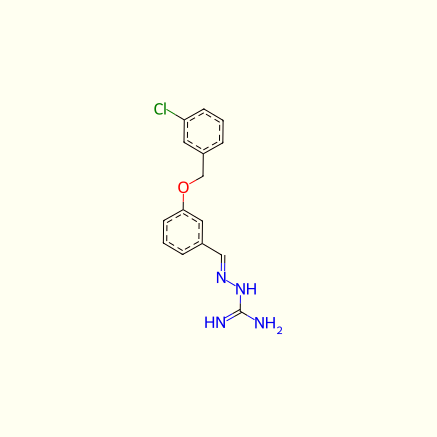 N=C(N)N/N=C/c1cccc(OCc2cccc(Cl)c2)c1